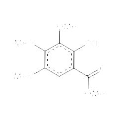 COC(=O)c1cc(OC)c(OC)c(OC)c1O